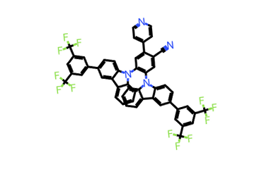 N#Cc1cc(-n2c3ccccc3c3cc(-c4cc(C(F)(F)F)cc(C(F)(F)F)c4)ccc32)c(-n2c3ccccc3c3cc(-c4cc(C(F)(F)F)cc(C(F)(F)F)c4)ccc32)cc1-c1ccncc1